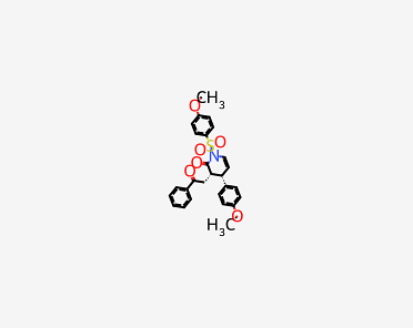 COc1ccc([C@H]2C=CN(S(=O)(=O)c3ccc(OC)cc3)C(=O)[C@H]2CC(=O)c2ccccc2)cc1